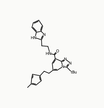 Cc1ccc(CCc2cc(C(=O)NCCc3nc4ccccc4[nH]3)c3nnc(C(C)(C)C)n3c2)cc1